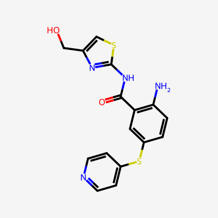 Nc1ccc(Sc2ccncc2)cc1C(=O)Nc1nc(CO)cs1